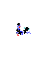 CN(C(=O)c1cnc(N2C[C@H](c3cc(F)c(F)cc3F)[C@@H](N)C2)nc1)C1CCN(c2nc(C(C)(C)C)no2)CC1